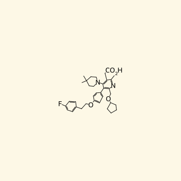 Cc1nc(COC2CCCC2)c(-c2ccc(OCCc3ccc(F)cc3)cc2)c(N2CCC(C)(C)CC2)c1CC(=O)O